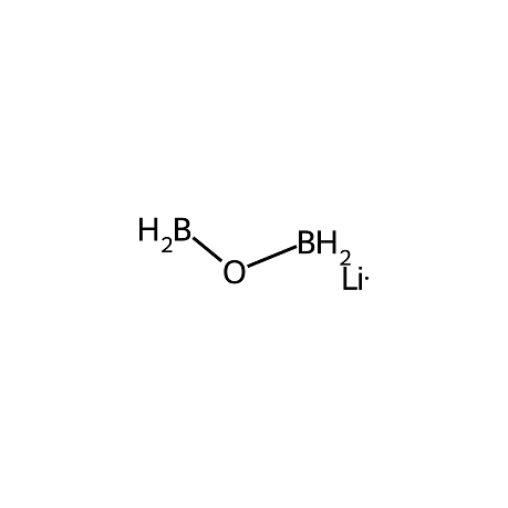 BOB.[Li]